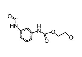 [O]CCOC(=O)Nc1cccc(N[C]=O)c1